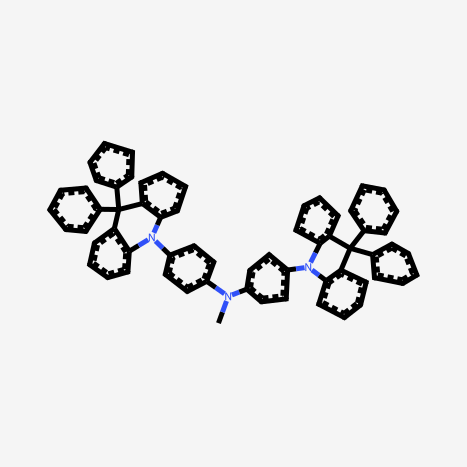 CN(c1ccc(N2c3ccccc3C(c3ccccc3)(c3ccccc3)c3ccccc32)cc1)c1ccc(N2c3ccccc3C(c3ccccc3)(c3ccccc3)c3ccccc32)cc1